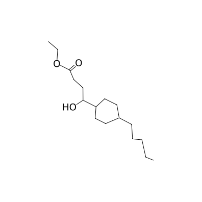 CCCCCC1CCC(C(O)CCC(=O)OCC)CC1